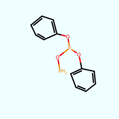 POP(Oc1ccccc1)Oc1ccccc1